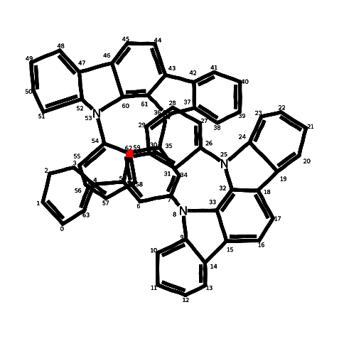 C1=CCCC(c2cc(-n3c4ccccc4c4ccc5c6ccccc6n(-c6ccccc6)c5c43)cc(-n3c4ccccc4c4ccc5c6ccccc6n(-c6ccccc6)c5c43)c2)=C1